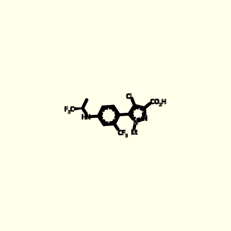 CCn1nc(C(=O)O)c(Cl)c1-c1ccc(N[C@H](C)C(F)(F)F)cc1C(F)(F)F